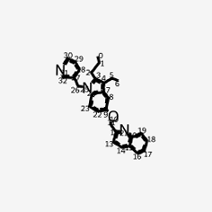 CCCc1c(CC)c2cc(OCc3ccc4ccccc4n3)ccc2n1Cc1cccnc1